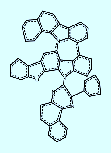 c1ccc(-c2nc3c(ccc4ccccc43)nc2-n2c3cccc4c5cccc6c7ccc8ccccc8c7n(c7cc8c9ccccc9oc8c2c7c43)c56)cc1